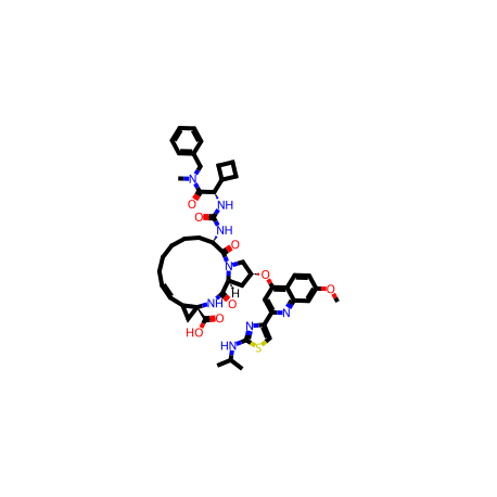 COc1ccc2c(O[C@@H]3C[C@H]4C(=O)N[C@]5(C(=O)O)CC5/C=C\CCCCC[C@H](NC(=O)N[C@H](C(=O)N(C)Cc5ccccc5)C5CCC5)C(=O)N4C3)cc(-c3csc(NC(C)C)n3)nc2c1